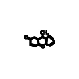 CC(c1ccccc1)C1CC(=O)C=CC1=O